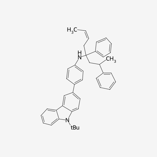 C/C=C\CC(CC(C)c1ccccc1)(Nc1ccc(-c2ccc3c(c2)c2ccccc2n3C(C)(C)C)cc1)c1ccccc1